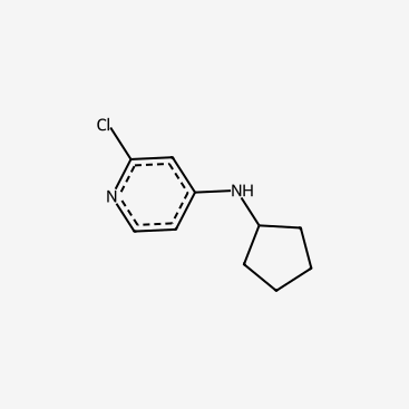 Clc1cc(NC2CCCC2)ccn1